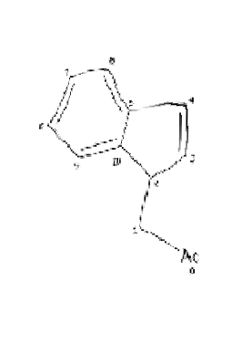 CC(=O)CC1C=Cc2ccccc21